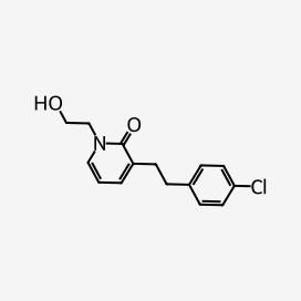 O=c1c(CCc2ccc(Cl)cc2)cccn1CCO